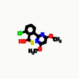 COc1cc(OC)nc(-c2cccc(Cl)c2C(O)=S)n1